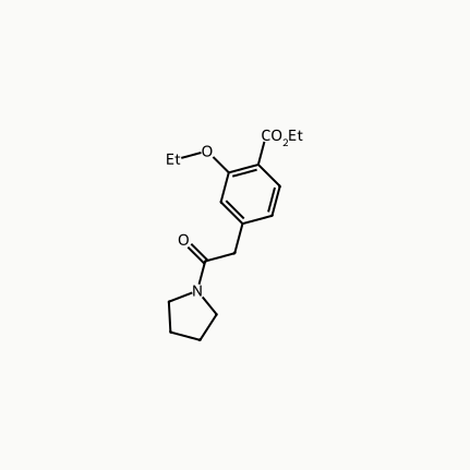 CCOC(=O)c1ccc(CC(=O)N2CCCC2)cc1OCC